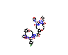 O=C1CCc2cc(cc(C3CO[C@@H](CNC(=O)[C@@H]4CCCCOc5cccc(c5)C[C@H](N5CCCC5O)C(=O)N[C@@H](CCc5ccc(F)cc5)C(=O)N4)C3)c2)OCCCC[C@@H](C(=O)NC[C@@H]2CCCO2)NC(=O)[C@H](CCN2CCOCC2)N1